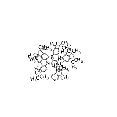 Cc1cc2c(cc1N1c3cc(C(C)(C)C)ccc3B3c4cc5c(cc4N(c4ccc(C(C)(C)C)cc4-c4ccccc4)c4cc(N6c7ccccc7C7(C)CCCCC67C)cc1c43)C(C)(C)CC5(C)C)C(C)(C)CC2(C)C